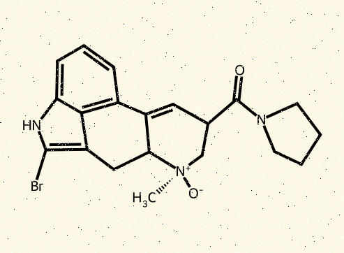 C[N@@+]1([O-])CC(C(=O)N2CCCC2)C=C2c3cccc4[nH]c(Br)c(c34)CC21